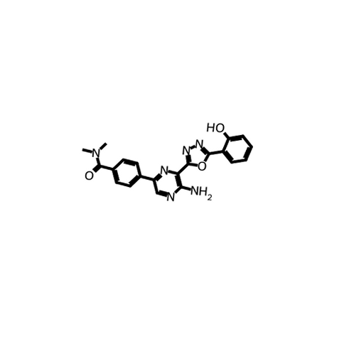 CN(C)C(=O)c1ccc(-c2cnc(N)c(-c3nnc(-c4ccccc4O)o3)n2)cc1